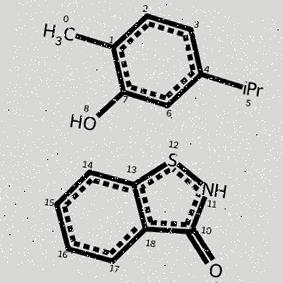 Cc1ccc(C(C)C)cc1O.O=c1[nH]sc2ccccc12